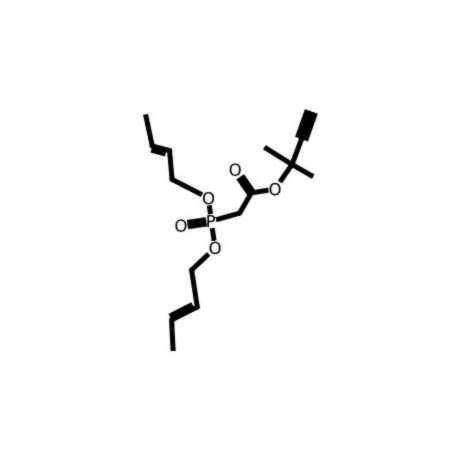 C#CC(C)(C)OC(=O)CP(=O)(OCC=CC)OCC=CC